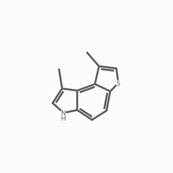 Cc1c[nH]c2ccc3scc(C)c3c12